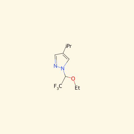 CCOC(n1cc(C(C)C)cn1)C(F)(F)F